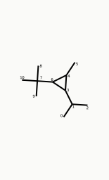 CC(C)C1C(C)C1C(C)(C)C